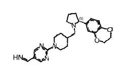 N=Cc1cnc(N2CCC(CN3CCC[C@H]3c3ccc4c(c3)OCCO4)CC2)nc1